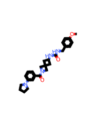 COc1ccc(CNC(=O)NC2CC3(C2)CN(C(=O)c2cccc(N4CCCC4)c2)C3)cc1